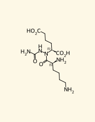 NCCCC[C@H](N)C(=O)N(NC(N)=O)[C@@H](CCCC(=O)O)C(=O)O